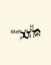 CNc1nc(Nc2ccnn2C)ncc1F